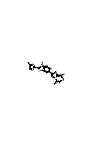 Cc1csc(-c2nc3cc(-c4nc5c(C)ncc(C)n5n4)ccc3[nH]2)n1